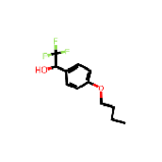 CCCCOc1ccc(C(O)C(F)(F)F)cc1